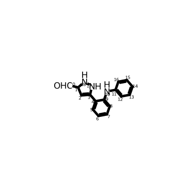 O=CC1C=C(c2ccccc2Nc2ccccc2)NN1